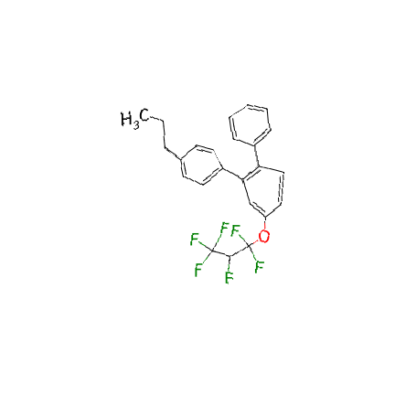 CCCc1ccc(-c2cc(OC(F)(F)C(F)C(F)(F)F)ccc2-c2ccccc2)cc1